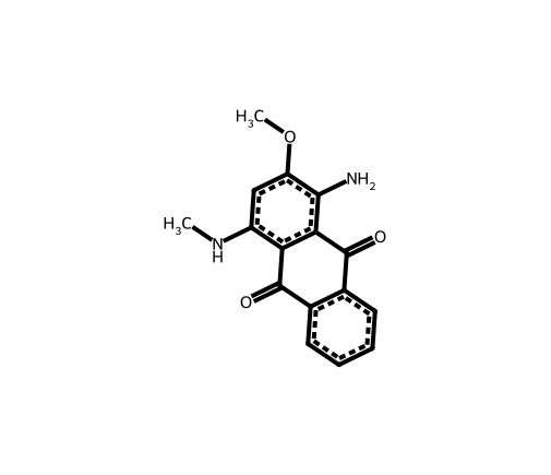 CNc1cc(OC)c(N)c2c1C(=O)c1ccccc1C2=O